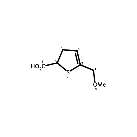 COCC1=CCC(C(=O)O)S1